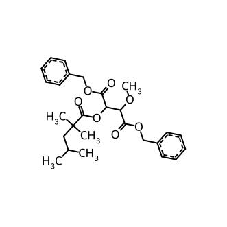 COC(C(=O)OCc1ccccc1)C(OC(=O)C(C)(C)CC(C)C)C(=O)OCc1ccccc1